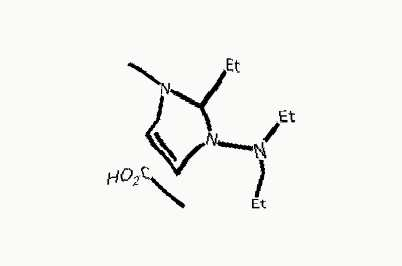 CC(=O)O.CCC1N(C)C=CN1N(CC)CC